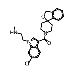 CNCCn1cc(C(=O)N2CCC3(CC2)OCc2ccccc23)c2ccc(Cl)cc21